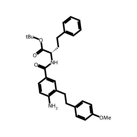 COc1ccc(CCc2cc(C(=O)N[C@@H](CCc3ccccc3)C(=O)OC(C)(C)C)ccc2N)cc1